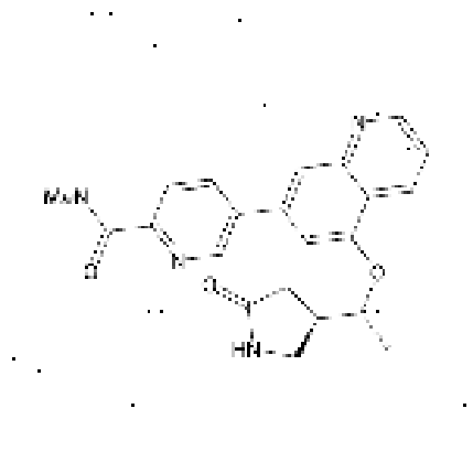 CNC(=O)c1ccc(-c2cc(O[C@H](C)[C@H]3CNC(=O)C3)c3cccnc3c2)cn1